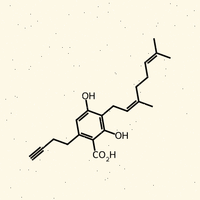 C#CCCc1cc(O)c(CC=C(C)CCC=C(C)C)c(O)c1C(=O)O